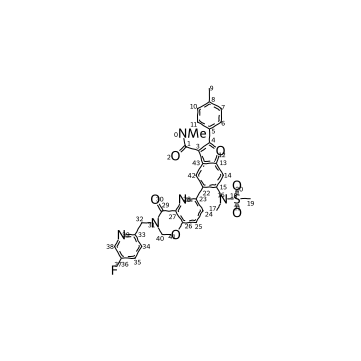 CNC(=O)c1c(-c2ccc(C)cc2)oc2cc(N(C)S(C)(=O)=O)c(-c3ccc4c(n3)C(=O)N(Cc3ccc(F)cn3)CO4)cc12